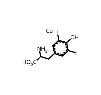 N[C@@H](Cc1cc(I)c(O)c(I)c1)C(=O)O.[Cu]